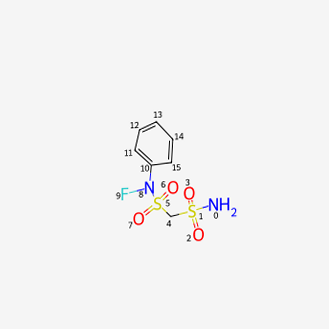 NS(=O)(=O)CS(=O)(=O)N(F)c1ccccc1